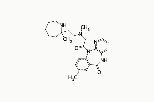 Cc1ccc2c(c1)C(=O)Nc1cccnc1N2C(=O)CN(C)CCC1(C)CCCCCN1